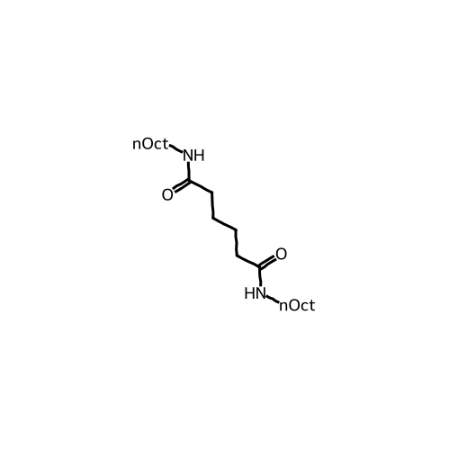 CCCCCCCCNC(=O)CCCCC(=O)NCCCCCCCC